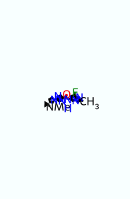 CNC1([C@@H]2CCN(c3cnc(C(=O)Nc4cc(F)c5nc(C)cn5c4)cn3)C2)CC1